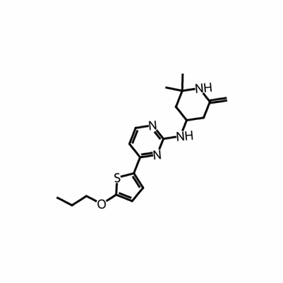 C=C1CC(Nc2nccc(-c3ccc(OCCC)s3)n2)CC(C)(C)N1